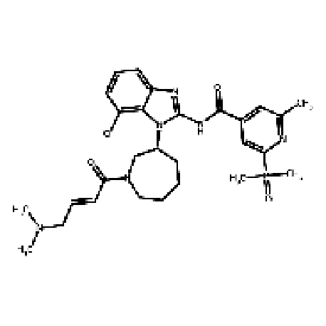 Cc1cc(C(=O)Nc2nc3cccc(Cl)c3n2[C@H]2CCCCN(C(=O)C=CCN(C)C)C2)cc(P(C)(C)=O)n1